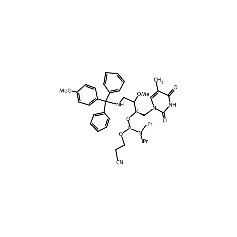 COc1ccc(C(NCC(OC)[C@@H](Cn2cc(C)c(=O)[nH]c2=O)OP(OCCC#N)N(C(C)C)C(C)C)(c2ccccc2)c2ccccc2)cc1